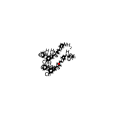 CC(C)(C)OC(=O)NC1CCN(CCC2CSC(c3cc4cc(Cl)cc(NC5CCOCC5)c4[nH]3)=N2)C1.NC1CCN(CCC2CSC(c3cc4cc(Cl)cc(NC5CCOCC5)c4[nH]3)=N2)C1